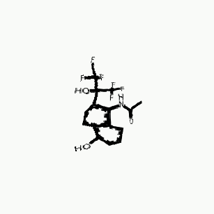 CC(=O)Nc1c(C(O)(C(F)(F)F)C(F)(F)F)ccc2c(O)cccc12